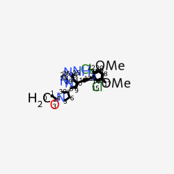 C=CC(=O)N1CC[C@@H](c2cc(C#Cc3c(Cl)c(OC)cc(OC)c3Cl)c3c(N)ncnn23)C1